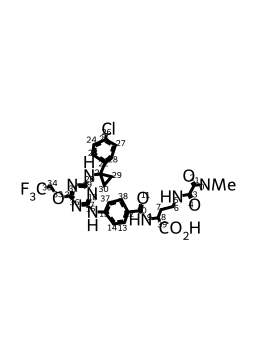 CNC(=O)C(=O)NCCC(NC(=O)c1ccc(Nc2nc(NC3(c4ccc(Cl)cc4)CC3)nc(OCC(F)(F)F)n2)cc1)C(=O)O